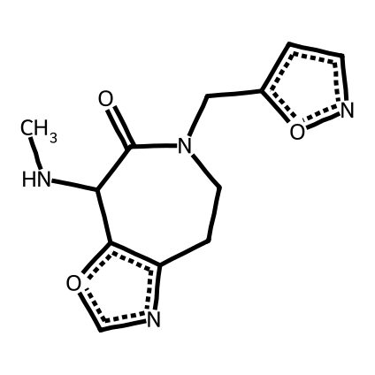 CNC1C(=O)N(Cc2ccno2)CCc2ncoc21